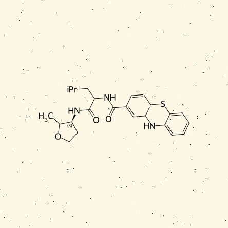 CC(C)CC(NC(=O)C1=CC2Nc3ccccc3SC2C=C1)C(=O)N[C@H]1CCOC1C